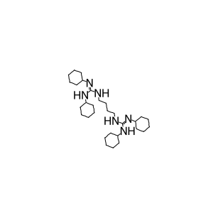 C1CCC(N=C(NCCCCNC(=NC2CCCCC2)NC2CCCCC2)NC2CCCCC2)CC1